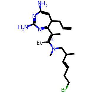 C=CCC1C=C(N)N=C(N)N=C1/C(C)=C(\CC)N(C)CC(C)C=CCCBr